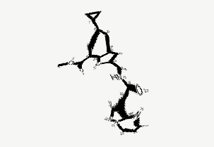 COC(=O)c1cc(C2CC2)cc2cc(CNC(=O)c3cnn4cccnc34)oc12